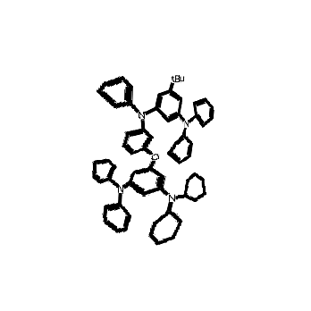 CC(C)(C)c1cc(N(c2ccccc2)c2ccccc2)cc(N(c2ccccc2)c2cccc(Oc3cc(N(c4ccccc4)c4ccccc4)cc(N(C4CCCCC4)C4CCCCC4)c3)c2)c1